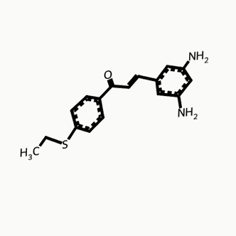 CCSc1ccc(C(=O)/C=C/c2cc(N)cc(N)c2)cc1